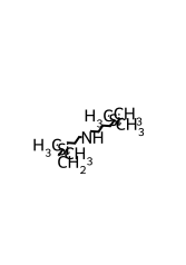 C=C[Si](C)(C)CCCNCCCC[Si](C)(C)C